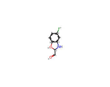 O=CC1Nc2cc(F)ccc2O1